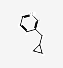 [c]1ccncc1CC1CC1